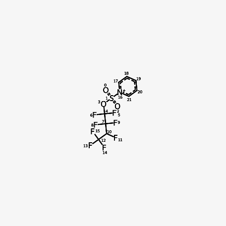 O=S(=O)(OC(F)(F)C(F)(F)C(F)C(F)(F)F)[n+]1ccccc1